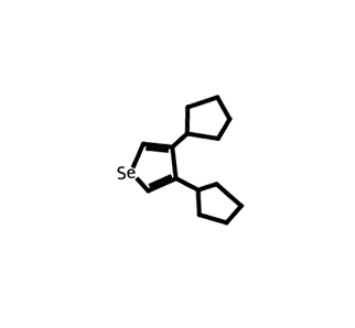 c1[se]cc(C2CCCC2)c1C1CCCC1